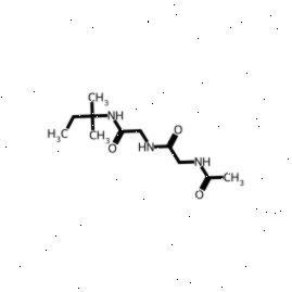 CCC(C)(C)NC(=O)CNC(=O)CNC(C)=O